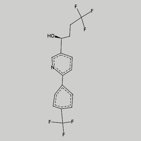 O[C@@H](CCC(F)(F)F)c1ccc(-c2ccc(C(F)(F)F)cc2)nc1